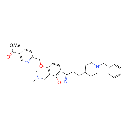 COC(=O)c1ccc(COc2ccc3c(CCC4CCN(Cc5ccccc5)CC4)noc3c2CN(C)C)nc1